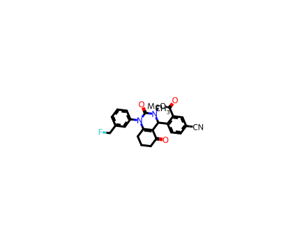 COC(=O)c1cc(C#N)ccc1C1C2=C(CCCC2=O)N(c2cccc(CF)c2)C(=O)N1C